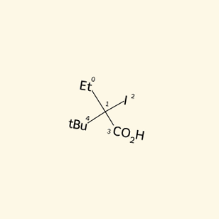 CCC(I)(C(=O)O)C(C)(C)C